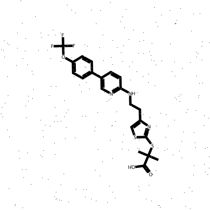 CC(C)(Sc1nc(CCNc2ccc(-c3ccc(OC(F)(F)F)cc3)cn2)cs1)C(=O)O